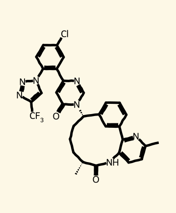 Cc1ccc2c(n1)-c1cccc(c1)[C@@H](n1cnc(-c3cc(Cl)ccc3-n3cc(C(F)(F)F)nn3)cc1=O)CCC[C@@H](C)C(=O)N2